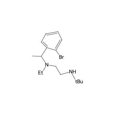 CCN(CCNC(C)(C)C)C(C)c1ccccc1Br